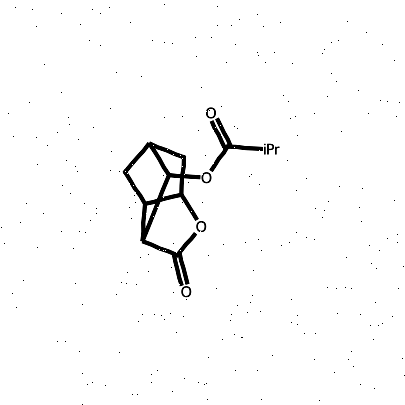 CC(C)C(=O)OC1C2CC3OC(=O)C1C3C2